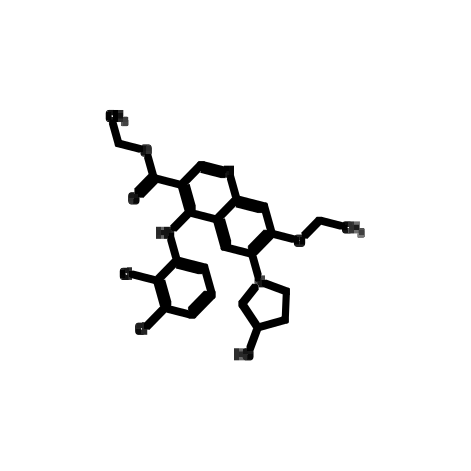 CCOC(=O)c1cnc2cc(OCC)c(N3CCC(O)C3)cc2c1Nc1cccc(Cl)c1Cl